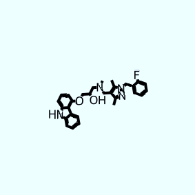 Cc1nn(Cc2ccccc2F)c(C)c1CN(C)CC(O)COc1cccc2[nH]c3ccccc3c12